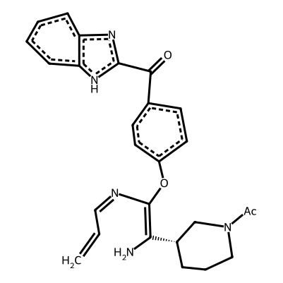 C=C/C=N\C(Oc1ccc(C(=O)c2nc3ccccc3[nH]2)cc1)=C(/N)[C@H]1CCCN(C(C)=O)C1